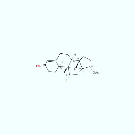 CC(=O)O[C@H]1CC[C@H]2[C@@H]3CCC4=CC(=O)CC[C@]4(C)[C@H]3[C@@H](F)C[C@]12C